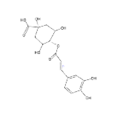 O=C(/C=C/c1ccc(O)c(O)c1)O[C@H]1C(O)C[C@](O)(C(=O)O)CC1O